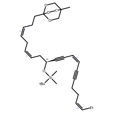 CC/C=C\CCC#C/C=C\C#C[C@H](C/C=C\C/C=C\CCC12OCC(C)(CO1)CO2)O[Si](C)(C)C(C)(C)C